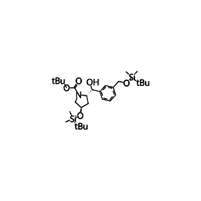 CC(C)(C)OC(=O)N1C[C@H](O[Si](C)(C)C(C)(C)C)C[C@H]1C(O)c1cccc(CO[Si](C)(C)C(C)(C)C)c1